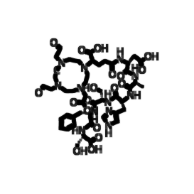 C[C@H](NC(=O)[C@H](CC(=O)O)NC(=O)CCC(C(=O)O)N1CCN(CC=O)CCN(CC=O)CCN(CC(=O)O)CC1)C(=O)N[C@@H](Cc1c[nH]cn1)C(=O)N[C@@H](CO)C(=O)N[C@@H](Cc1ccccc1)C(=O)N[C@@H](CO)C(=O)O